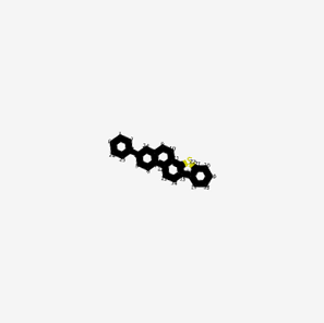 c1ccc(-c2ccc3c(ccc4c3ccc3c5ccccc5sc34)c2)cc1